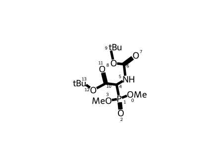 COP(=O)(OC)C(NC(=O)OC(C)(C)C)C(=O)OC(C)(C)C